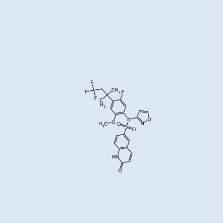 COc1cc(C(C)(C)CC(F)(F)F)c(F)cc1N(c1ccon1)S(=O)(=O)c1ccc2[nH]c(=O)ccc2c1